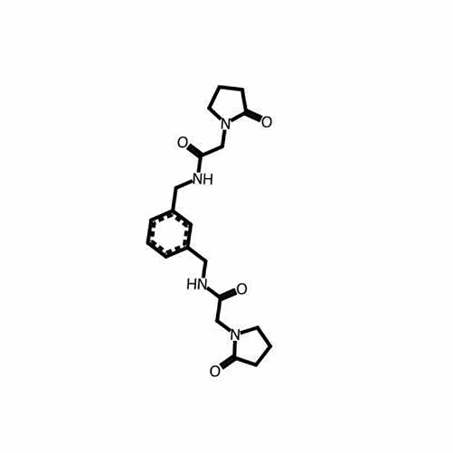 O=C(CN1CCCC1=O)NCc1cccc(CNC(=O)CN2CCCC2=O)c1